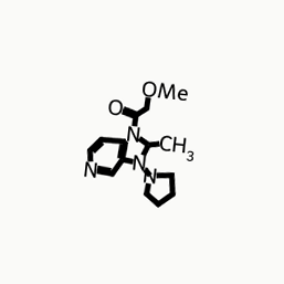 COCC(=O)N1c2ccncc2N(N2CCCC2)C1C